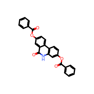 O=C(Oc1ccc2c(c1)[nH]c(=O)c1cc(OC(=O)c3ccccc3)ccc12)c1ccccc1